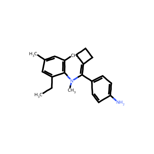 CCc1cc(C)cc(C)c1N(C)C(=C1CCC1)c1ccc(N)cc1